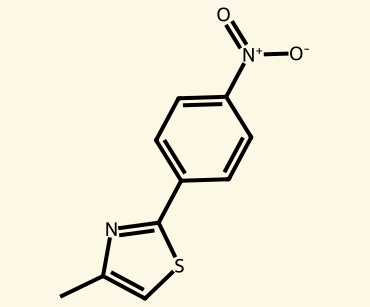 Cc1csc(-c2ccc([N+](=O)[O-])cc2)n1